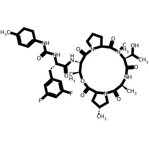 CC1=CC=C(NC(=O)N[C@@H](Cc2cc(F)cc(F)c2)C(=O)N[C@@H]2C(=O)N3CCCC3C(=O)N(C)[C@@H](C(C)O)C(=O)N[C@@H](C)C(=O)N3C[C@H](C)CC3C(=O)O[C@H]2C)CC1